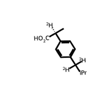 [2H]C([2H])(c1ccc([C@]([2H])(C)C(=O)O)cc1)C(C)C